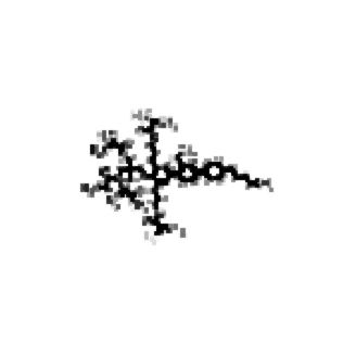 C=C(C)C(=O)OCCCc1cc(-c2ccc(C3CCC(CCCCC)CC3)cc2CC)cc(CCCOC(=O)C(=C)C)c1OCC(COC(=O)C(=C)C)(COC(=O)C(=C)C)COC(=O)C(C)=O